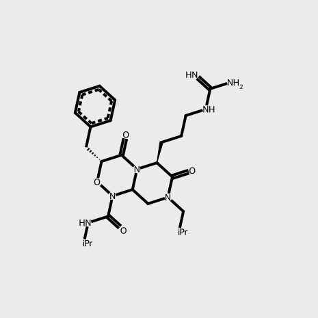 CC(C)CN1CC2N(C(=O)NC(C)C)O[C@H](Cc3ccccc3)C(=O)N2[C@@H](CCCNC(=N)N)C1=O